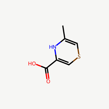 CC1=CSC=C(C(=O)O)N1